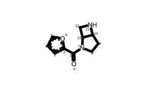 O=C(c1ccco1)N1CCC2NCC21